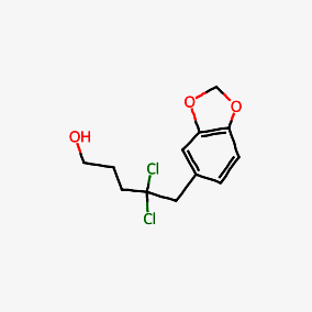 OCCCC(Cl)(Cl)Cc1ccc2c(c1)OCO2